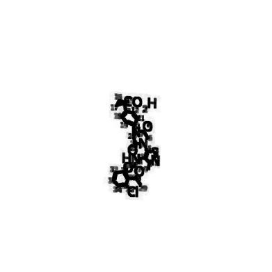 Cc1nsc(N2CC(=O)N(c3ccc(C4(C(=O)O)CC4)cc3)CC2=O)c1NC(=O)OC(C)c1ccccc1Cl